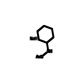 CC(=O)ONC1CCCCC1.[NaH]